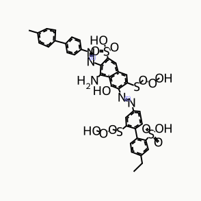 CCc1ccc(-c2ccc(/N=N/c3c(SOOO)cc4cc(S(=O)(=O)O)c(/N=N/c5ccc(-c6ccc(C)cc6)cc5)c(N)c4c3O)cc2SOOO)c(S(=O)(=O)O)c1